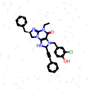 CCN1C(=O)C2=C(NC(C#Cc3ccccc3)N2Cc2ccc(O)c(Cl)c2)N2C[C@@H](Cc3ccccc3)N=C12